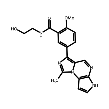 COc1ccc(-c2nc(C)n3c2cnc2[nH]ccc23)cc1C(=O)NCCO